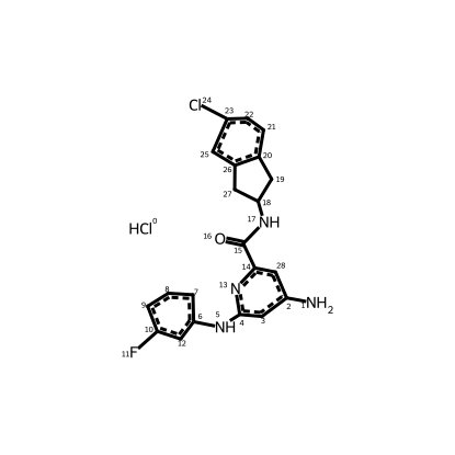 Cl.Nc1cc(Nc2cccc(F)c2)nc(C(=O)NC2Cc3ccc(Cl)cc3C2)c1